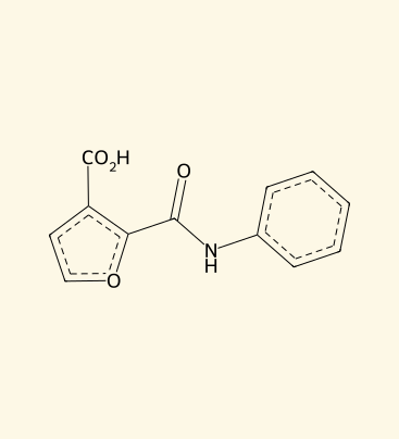 O=C(O)c1ccoc1C(=O)Nc1ccccc1